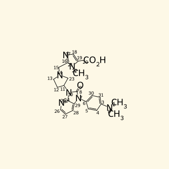 CN(C)c1ccc(-n2c(=O)n(C3CCN(Cc4ncc(C(=O)O)n4C)C3)c3ncccc32)cc1